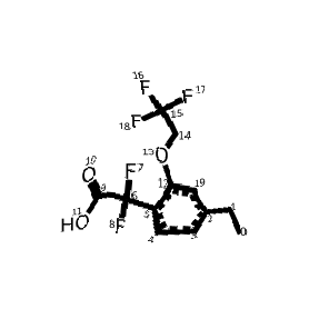 CCc1ccc(C(F)(F)C(=O)O)c(OCC(F)(F)F)c1